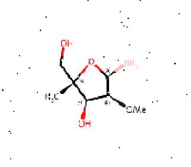 B[C@@H]1O[C@@](C)(CO)[C@H](O)[C@@H]1OC